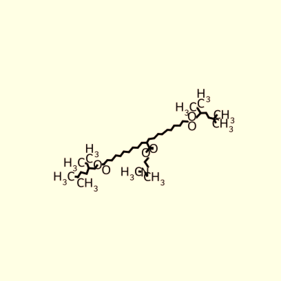 CC(C)CCC(COC(=O)CCCCCCCCCC(CCCCCCCCCC(=O)OCC(CCC(C)C)C(C)C)C(=O)OCCCN(C)C)C(C)C